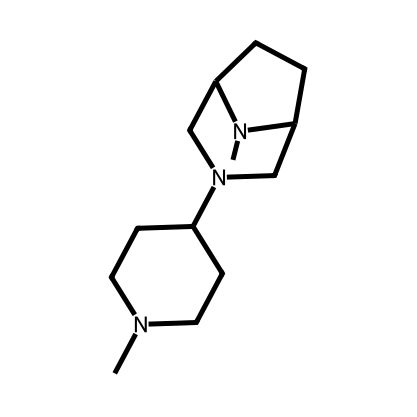 CN1CCC(N2CC3CCC(C2)N3C)CC1